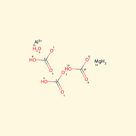 O.O=C([O-])O.O=C([O-])O.O=C([O-])O.[Al+3].[MgH2]